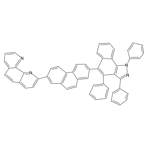 c1ccc(-c2nn(-c3ccccc3)c3c2c(-c2ccccc2)c(-c2ccc4c(ccc5cc(-c6ccc7ccc8cccnc8c7n6)ccc54)c2)c2ccccc23)cc1